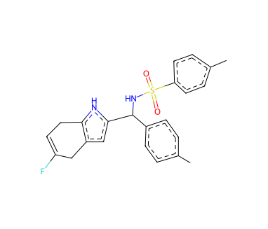 Cc1ccc(C(NS(=O)(=O)c2ccc(C)cc2)c2cc3c([nH]2)CC=C(F)C3)cc1